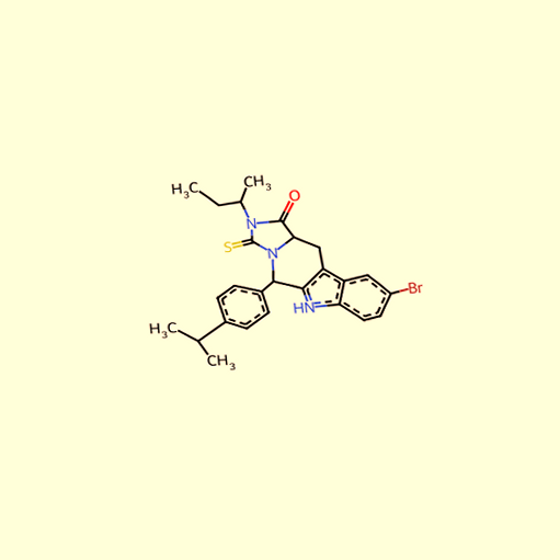 CCC(C)N1C(=O)C2Cc3c([nH]c4ccc(Br)cc34)C(c3ccc(C(C)C)cc3)N2C1=S